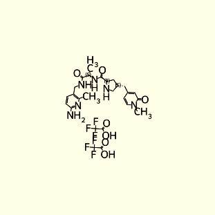 Cc1nc(N)ccc1CNC(=O)[C@H](C)NC(=O)[C@H]1C[C@H](Cc2ccn(C)c(=O)c2)CN1.O=C(O)C(F)(F)F.O=C(O)C(F)(F)F